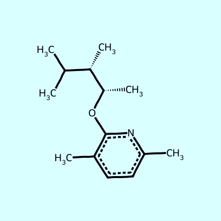 Cc1ccc(C)c(O[C@@H](C)[C@@H](C)C(C)C)n1